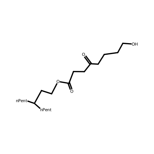 CCCCCC(CCCCC)CCOC(=O)CCC(=O)CCCCO